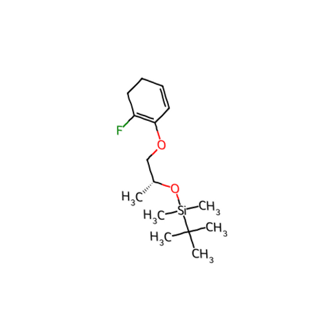 C[C@H](COC1=C(F)CCC=C1)O[Si](C)(C)C(C)(C)C